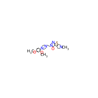 COc1ccc(N2CCN(CCn3cnc4sc5c(c4c3=O)CCN(C)C5)CC2)c(OC)c1